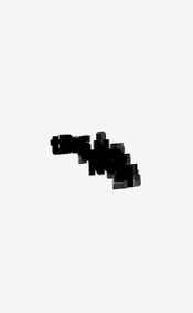 Cn1c(CSC(C)(C)C)nc2cc(C(C)(C)I)ccc21